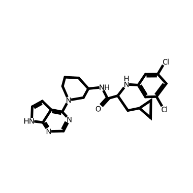 O=C(NC1CCCN(c2ncnc3[nH]ccc23)C1)C(CC1CC1)Nc1cc(Cl)cc(Cl)c1